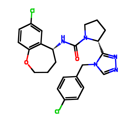 O=C(N[C@@H]1CCCOc2ccc(Cl)cc21)N1CCC[C@@H]1c1nncn1Cc1ccc(Cl)cc1